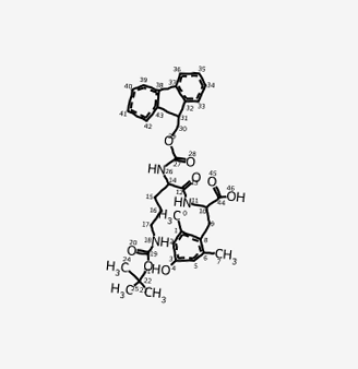 Cc1cc(O)cc(C)c1CC(NC(=O)C(CCCNC(=O)OC(C)(C)C)NC(=O)OCC1c2ccccc2-c2ccccc21)C(=O)O